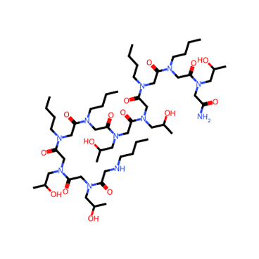 CCCCNCC(=O)N(CC(=O)N(CC(=O)N(CCCC)CC(=O)N(CCCC)CC(=O)N(CC(=O)N(CC(=O)N(CCCC)CC(=O)N(CCCC)CC(=O)N(CC(N)=O)CC(C)O)CC(C)O)CC(C)O)CC(C)O)CC(C)O